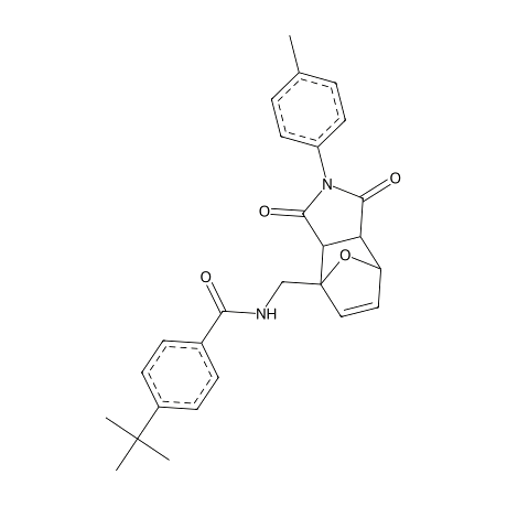 Cc1ccc(N2C(=O)C3C4C=CC(CNC(=O)c5ccc(C(C)(C)C)cc5)(O4)C3C2=O)cc1